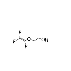 OCCOC(F)=C(F)F